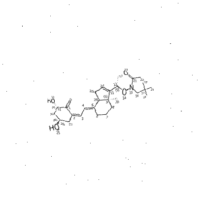 C=C1C(=CC=C2CCC[C@]3(C)C([C@H](C)ON(CC(C)(C)C)C(C)=O)=CCC23)C[C@@H](O)C[C@@H]1O